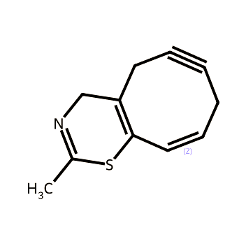 CC1=NCC2=C(/C=C\CC#CC2)S1